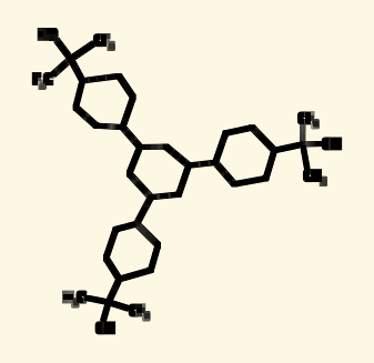 CC(O)(C1CCC(C2CC(C3CCC(C(C)(O)C(F)(F)F)CC3)CC(C3CCC(C(O)(C(F)(F)F)C(F)(F)F)CC3)C2)CC1)C(F)(F)F